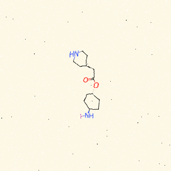 O=C(CC1CCNCC1)O[C@H]1CC[C@H](NI)CC1